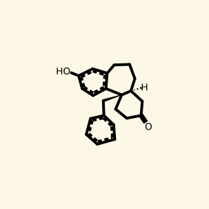 O=C1CC[C@]2(Cc3ccccc3)c3ccc(O)cc3CCC[C@H]2C1